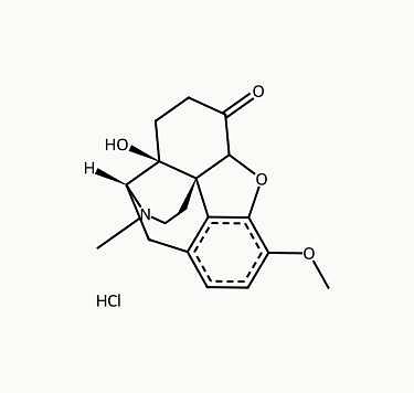 COc1ccc2c3c1OC1C(=O)CC[C@@]4(O)[C@@H](C2)N(C)CC[C@]314.Cl